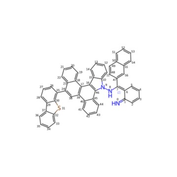 N=C1C=CC=C/C1=C(/Nn1c2ccccc2c2c3c4ccccc4c(-c4cccc5c4sc4ccccc45)cc3c3ccccc3c21)c1ccc2ccccc2c1